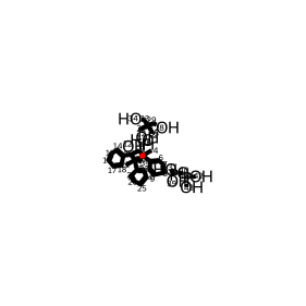 CC(C)C(C(C)(C)c1ccccc1)C(O)(c1ccccc1)C(C)(C)c1ccccc1.OCC(CO)(CO)CO.OP(O)OP(O)O